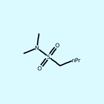 CCCCS(=O)(=O)N(C)C